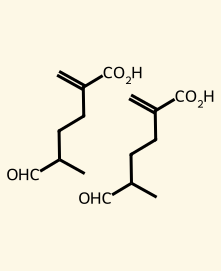 C=C(CCC(C)C=O)C(=O)O.C=C(CCC(C)C=O)C(=O)O